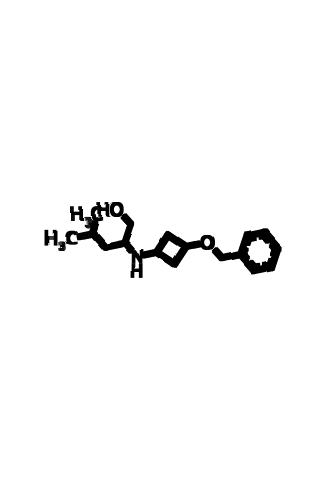 CC(C)CC(CO)NC1CC(OCc2ccccc2)C1